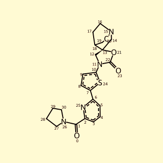 O=C(c1cccc(-c2ccc(N3C[C@@]4(CN5CCC4CC5)OC3=O)s2)n1)N1CCCC1